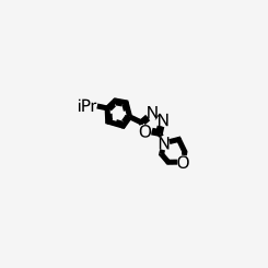 CC(C)c1ccc(-c2nnc(N3CCOCC3)o2)cc1